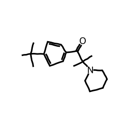 CC(C)(C)c1ccc(C(=O)C(C)(C)N2CCCCC2)cc1